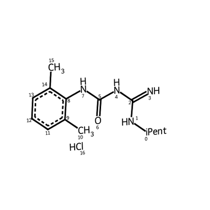 CCCC(C)NC(=N)NC(=O)Nc1c(C)cccc1C.Cl